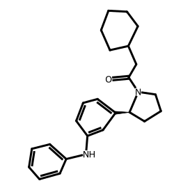 O=C(CC1CCCCC1)N1CCC[C@H]1c1cccc(Nc2ccccc2)c1